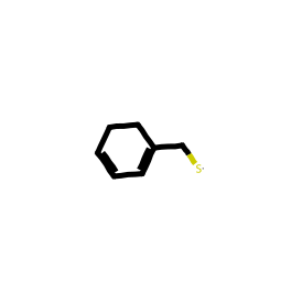 [S]CC1=CC=CCC1